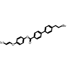 CCCCCCCCC=COc1ccc(OC(=O)c2ccc(-c3ccc(CCC(C)CC)cc3)cc2)cc1